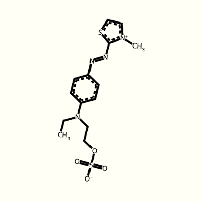 CCN(CCOS(=O)(=O)[O-])c1ccc(N=Nc2scc[n+]2C)cc1